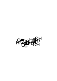 O=c1ccn([C@@H]2O[C@H](COP(=O)(O)OP(=O)(O)O)C[C@]2(F)Cl)c(=O)[nH]1